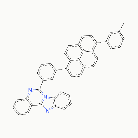 Cc1cccc(-c2ccc3ccc4c(-c5cccc(-c6nc7ccccc7c7nc8ccccc8n67)c5)ccc5ccc2c3c54)c1